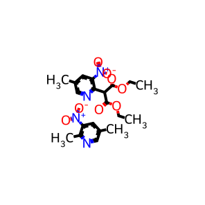 CCOC(=O)C(C(=O)OCC)c1ncc(C)cc1[N+](=O)[O-].Cc1cnc(C)c([N+](=O)[O-])c1